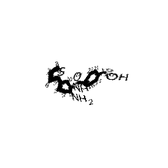 Nc1ccc(-c2cccs2)cc1NC(=O)c1ccc(CO)cc1